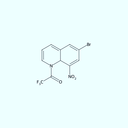 O=C(N1C=CC=C2C=C(Br)C=C([N+](=O)[O-])C21)C(F)(F)F